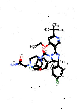 CCOc1cc(C(C)(C)C)ncc1C1=N[C@@](C)(c2ccc(Cl)cc2)[C@@](C)(c2ccc(Cl)cc2)N1C(=O)N1CCCN(CC(N)=O)CC1